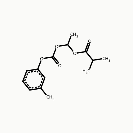 Cc1cccc(OC(=O)OC(C)OC(=O)C(C)C)c1